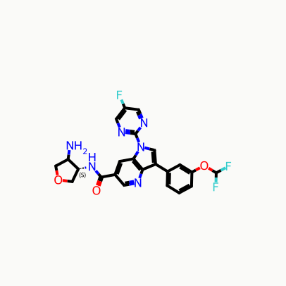 NC1COC[C@H]1NC(=O)c1cnc2c(-c3cccc(OC(F)F)c3)cn(-c3ncc(F)cn3)c2c1